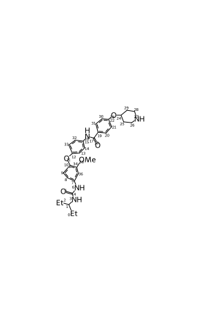 CCC(CC)NC(=O)Nc1ccc(Oc2ccc(NC(=O)c3ccc(OC4CCNCC4)cc3)cc2)c(OC)c1